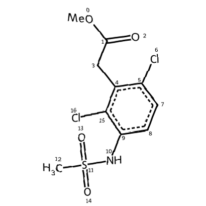 COC(=O)Cc1c(Cl)ccc(NS(C)(=O)=O)c1Cl